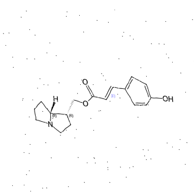 O=C(/C=C/c1ccc(O)cc1)OC[C@@H]1CCN2CCC[C@H]12